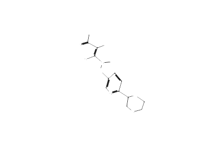 CCCC(=N)/C(Cl)=C(\N)N(F)Oc1ccc(C2CNCCO2)nc1